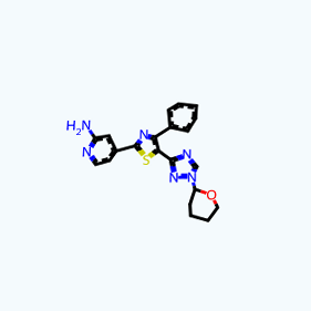 Nc1cc(-c2nc(-c3ccccc3)c(-c3ncn(C4CCCCO4)n3)s2)ccn1